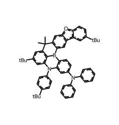 CC(C)(C)c1ccc(N2c3cc(N(c4ccccc4)c4ccccc4)ccc3B3c4cc5c(cc4C(C)(C)c4cc(C(C)(C)C)cc2c43)oc2ccc(C(C)(C)C)cc25)cc1